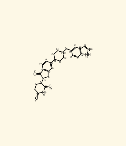 O=C1CCC(N2Cc3cc(C4CCN(Cc5ccc6[nH]ncc6c5)CC4)ccc3C2=O)C(=O)N1